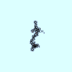 Cn1c(=O)n(-c2ccc(OCc3ccccc3)nc2OCc2ccccc2)c2ccc(C3=CCN(CC(=O)N4CC[C@@H](Oc5ccc6cc(OCc7ccccc7)c(N7CC(=O)NS7(=O)=O)c(F)c6c5)C4)CC3(F)F)cc21